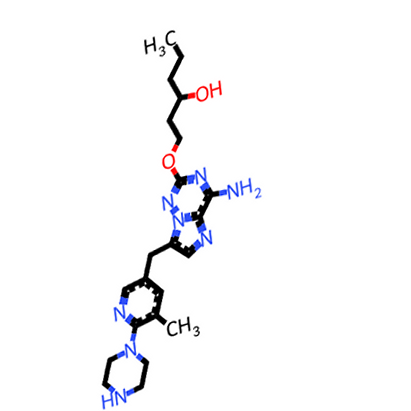 CCCC(O)CCOc1nc(N)c2ncc(Cc3cnc(N4CCNCC4)c(C)c3)n2n1